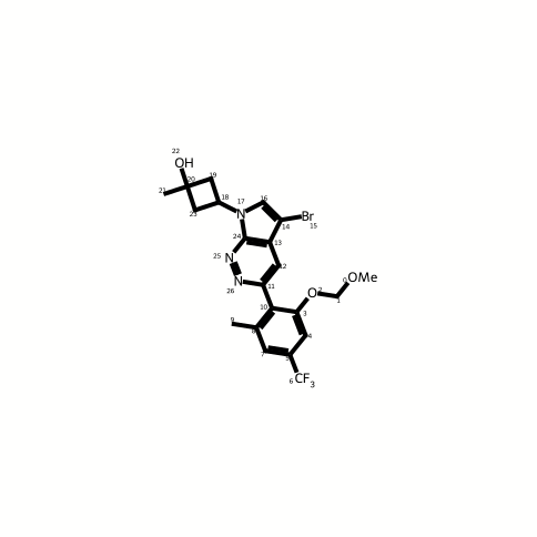 COCOc1cc(C(F)(F)F)cc(C)c1-c1cc2c(Br)cn(C3CC(C)(O)C3)c2nn1